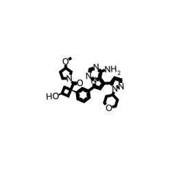 COC1CCN(C(=O)[C@]2(c3cccc(-c4cc(-c5ccnn5C5CCOCC5)c5c(N)ncnn45)c3)C[C@@H](O)C2)C1